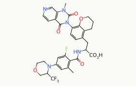 Cc1cc(N2CCOCC2C(F)(F)F)cc(F)c1C(=O)NC(Cc1ccc(-n2c(=O)c3ccncc3n(C)c2=O)c2c1CCCO2)C(=O)O